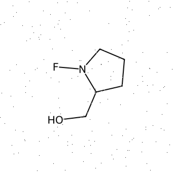 OCC1CCCN1F